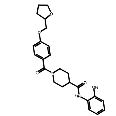 O=C(Nc1ccccc1O)C1CCN(C(=O)c2ccc(OCC3CCCO3)cc2)CC1